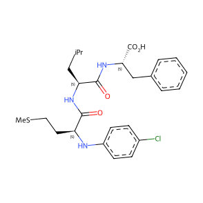 CSCC[C@H](Nc1ccc(Cl)cc1)C(=O)N[C@@H](CC(C)C)C(=O)N[C@@H](Cc1ccccc1)C(=O)O